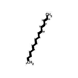 C=CC=CC=CC=CCC=CC=CC=CC